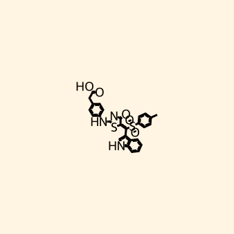 Cc1ccc(S(=O)(=O)C(=C2SC(Nc3ccc(CC(=O)O)cc3)=NC2=O)c2c[nH]c3ccccc23)cc1